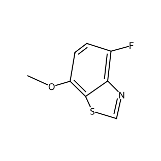 COc1ccc(F)c2ncsc12